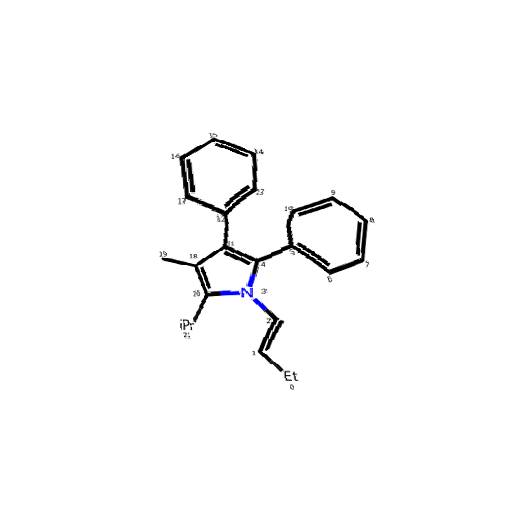 CC/C=C/n1c(-c2ccccc2)c(-c2ccccc2)c(C)c1C(C)C